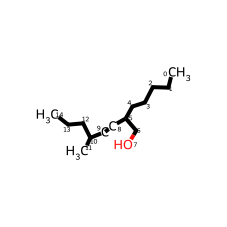 CCCCCC(CO)CCC(C)CCC